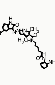 Cc1[nH]c(C=NN=C2C(=O)Nc3ccc(Cl)cc32)c(C)c1C(=O)NCCCCCC(=O)Nc1ccccc1N